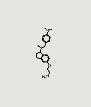 CN(C)c1ccc(CN(C)C2CCc3cc(OCCN)ccc32)cc1